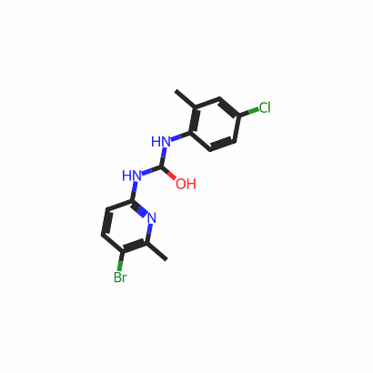 Cc1cc(Cl)ccc1NC(O)Nc1ccc(Br)c(C)n1